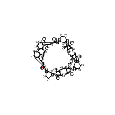 O=C1c2ccc3c4ccc5c6c7ccc(c8ccc(c2c38)C(=O)N1[C@H]1CCCCC1n1c(=O)c2cc3c(=O)n(c(=O)c3cc2c1=O)[C@H]1CCCC[C@@H]1n1c(=O)c2cc3c(=O)n(c(=O)c3cc2c1=O)[C@H]1CCCC[C@@H]1N(C5=O)C7=O)c64